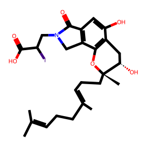 CC(C)=CCC/C(C)=C/CC[C@]1(C)Oc2c(c(O)cc3c2CN(CC(I)C(=O)O)C3=O)C[C@@H]1O